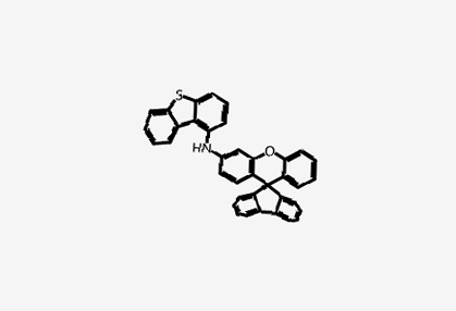 c1ccc2c(c1)Oc1cc(Nc3cccc4sc5ccccc5c34)ccc1C21c2ccccc2-c2ccccc21